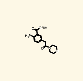 COC(=O)c1cc(CC(=O)N2CCOCC2)ccc1N